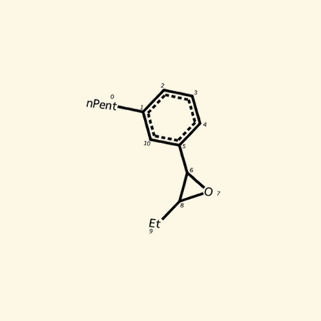 CCCCCc1cccc(C2OC2CC)c1